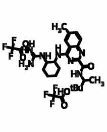 Cc1ccc2nc(C(=O)NC(C)C(C)(C)C)nc(NC3CCCCC3NC(=N)N)c2c1.O=C(O)C(F)(F)F.O=C(O)C(F)(F)F